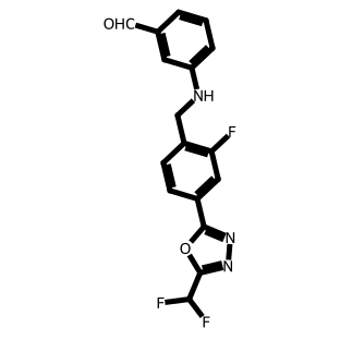 O=Cc1cccc(NCc2ccc(-c3nnc(C(F)F)o3)cc2F)c1